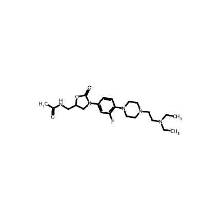 CCN(CC)CCN1CCN(c2ccc(N3CC(CNC(C)=O)OC3=O)cc2F)CC1